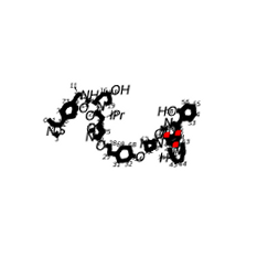 Cc1ncsc1-c1ccc([C@H](C)NC(=O)[C@@H]2C[C@@H](O)CN2C(=O)[C@@H](c2cc(OCCC3CCC(OC4CC(Oc5cc(N6C7CC[C@@H]6CN(c6cc(-c8ccccc8O)nnc6N)C7)ccn5)C4)CC3)no2)C(C)C)cc1